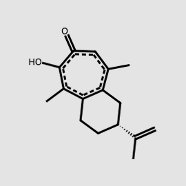 C=C(C)[C@@H]1CCc2c(C)c(O)c(=O)cc(C)c2C1